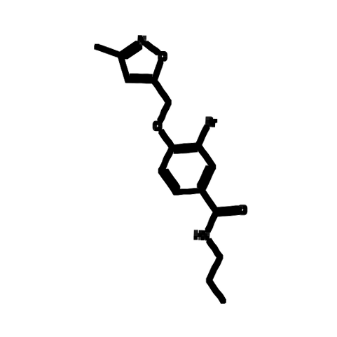 CCCNC(=O)c1ccc(OCc2cc(C)no2)c(Br)c1